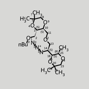 CCCCOC[C@@H]1OC(C)(C)CO[C@H]1COC[C@H](N=[N+]=[N-])[C@@H]1OC(C)(C)CO[C@@H]1C